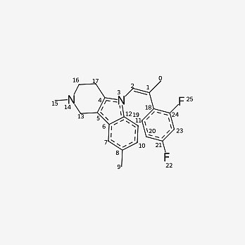 C/C(=C/n1c2c(c3cc(C)ccc31)CN(C)CC2)c1ccc(F)cc1F